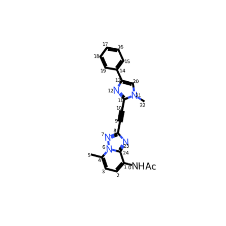 CC(=O)Nc1ccc(C)n2nc(C#Cc3nc(-c4ccccc4)cn3C)nc12